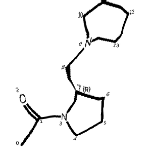 CC(=O)N1CCC[C@@H]1CN1CCCC1